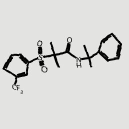 CC(C)(NC(=O)C(C)(C)S(=O)(=O)c1cccc(C(F)(F)F)c1)c1ccccc1